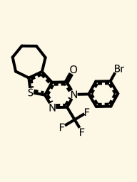 O=c1c2c3c(sc2nc(C(F)(F)F)n1-c1cccc(Br)c1)CCCCC3